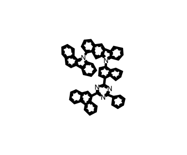 c1ccc(-c2nc(-c3ccc(-n4c5ccccc5c5cc6cccc(-n7c8ccccc8c8ccc9ccccc9c87)c6cc54)c4ccccc34)nc(-c3cc4ccccc4c4ccccc34)n2)cc1